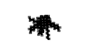 CCCCCCCC(CC)C(NC(=O)OC(C)(C)C)(C(CC)CCCCCCC)C(C(CC)CCCCCCC)(C(CC)CCCCCCC)C(C(=O)O)(C(CC)CCCCCCC)C(CC)CCCCCCC